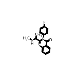 CNC(C)c1nc2ccccc2c(=O)n1-c1ccc(F)cc1